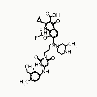 CCc1cc(Nc2cc(=O)n(CCC[C@H](c3ccc4c(=O)c(C(=O)O)c(C5CC5)[nH]c4c3OC(F)F)N3CCNC(C)C3)c(=O)[nH]2)ccc1C